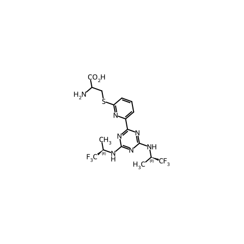 C[C@@H](Nc1nc(N[C@H](C)C(F)(F)F)nc(-c2cccc(SCC(N)C(=O)O)n2)n1)C(F)(F)F